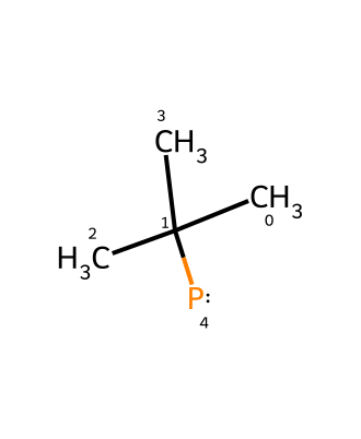 CC(C)(C)[P]